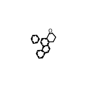 c1ccc2c(c1)ccc1c3c(ccc12)C1OC1CC3.c1ccccc1